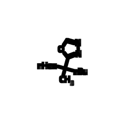 CCCCCCC(C)(CCCC)c1nnco1